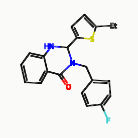 CCc1ccc(C2Nc3ccccc3C(=O)N2Cc2ccc(F)cc2)s1